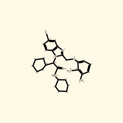 Cc1cccc(OCc2nc3cc(F)ccc3n2C(C(=O)NC2CCCCC2)C2CCCCC2)c1C